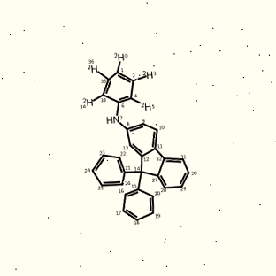 [2H]c1c([2H])c([2H])c(Nc2ccc3c(c2)C(c2ccccc2)(c2ccccc2)c2ccccc2-3)c([2H])c1[2H]